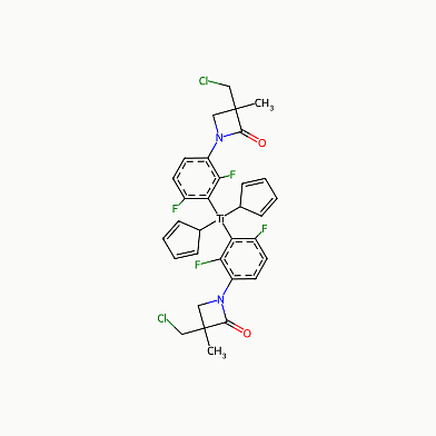 CC1(CCl)CN(c2ccc(F)[c]([Ti]([c]3c(F)ccc(N4CC(C)(CCl)C4=O)c3F)([CH]3C=CC=C3)[CH]3C=CC=C3)c2F)C1=O